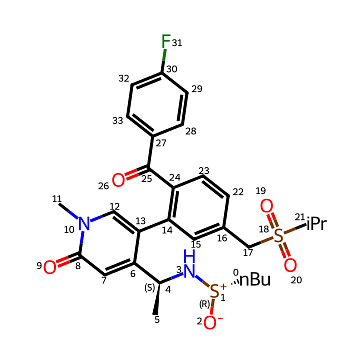 CCCC[S@+]([O-])N[C@@H](C)c1cc(=O)n(C)cc1-c1cc(CS(=O)(=O)C(C)C)ccc1C(=O)c1ccc(F)cc1